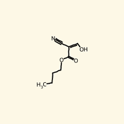 CCCCOC(=O)/C(C#N)=C\O